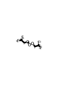 FC(F)COOOCC(F)F